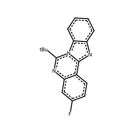 CC(C)(C)c1nc2cc(F)ccc2c2nc3ccccc3n12